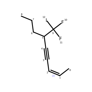 C/C=C\C#CC(CCC)C(F)(F)I